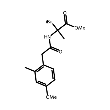 CCC(C)C(C)(NC(=O)Cc1ccc(OC)cc1C)C(=O)OC